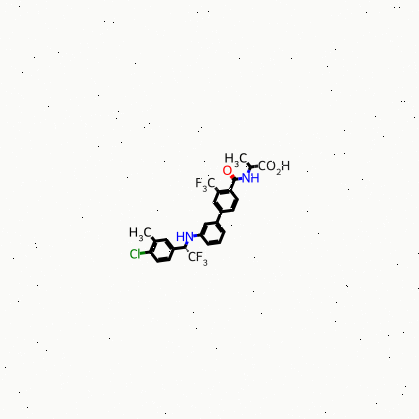 Cc1cc([C@H](Nc2cccc(-c3ccc(C(=O)NC(C)C(=O)O)c(C(F)(F)F)c3)c2)C(F)(F)F)ccc1Cl